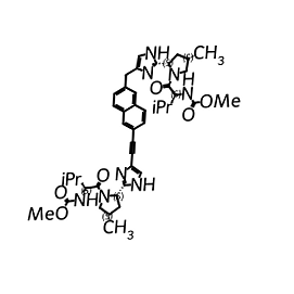 COC(=O)N[C@H](C(=O)N1C[C@@H](C)C[C@H]1c1nc(C#Cc2ccc3cc(Cc4c[nH]c([C@@H]5C[C@H](C)CN5C(=O)[C@@H](NC(=O)OC)C(C)C)n4)ccc3c2)c[nH]1)C(C)C